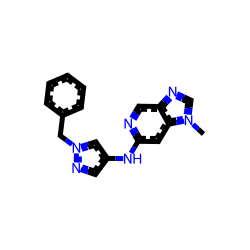 Cn1cnc2cnc(Nc3cnn(Cc4ccccc4)c3)cc21